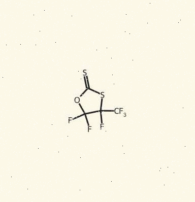 FC(F)(F)C1(F)SC(=S)OC1(F)F